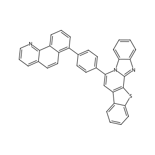 c1cnc2c(c1)ccc1c(-c3ccc(-c4cc5c6ccccc6sc5c5nc6ccccc6n45)cc3)cccc12